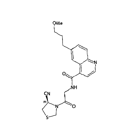 COCCCc1ccc2nccc(C(=O)NCC(=O)N3CSC[C@H]3C#N)c2c1